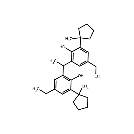 CCc1cc(C(C)c2cc(CC)cc(C3(C)CCCC3)c2O)c(O)c(C2(C)CCCC2)c1